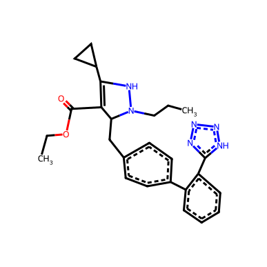 CCCN1NC(C2CC2)=C(C(=O)OCC)C1Cc1ccc(-c2ccccc2-c2nnn[nH]2)cc1